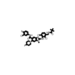 Cn1c(Nc2c(Cl)ccc(CNC(=O)C(C)(C)C)c2Cl)nc2cc(C(=O)Nc3ccc(F)c(Cl)c3)c(N3CCC(F)CC3)cc21